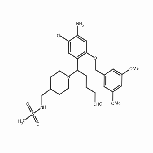 COc1cc(COc2cc(N)c(Cl)cc2C(CCCC=O)N2CCC(CNS(C)(=O)=O)CC2)cc(OC)c1